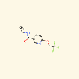 CCNC(=O)c1ccc(OCC(F)(F)F)nc1